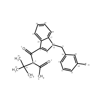 CC(=O)N(C(=O)c1cn(Cc2cccc(F)c2)c2ccccc12)C(C)(C)C